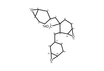 O=C(O)C1(CC2CCC3OC3C2)CCC2OC2C1CC1CCC2OC2C1